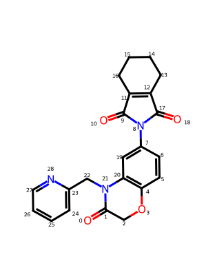 O=C1COc2ccc(N3C(=O)C4=C(CCCC4)C3=O)cc2N1Cc1ccccn1